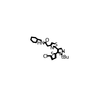 CC(C)(C)n1ncc(-c2nc(CC(=O)NCC3CCCCC3)cs2)c1-c1ccc(Cl)s1